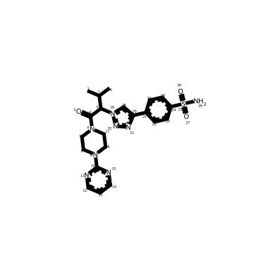 CC(C)C(C(=O)N1CCN(c2ncccn2)CC1)n1cc(-c2ccc(S(N)(=O)=O)cc2)nn1